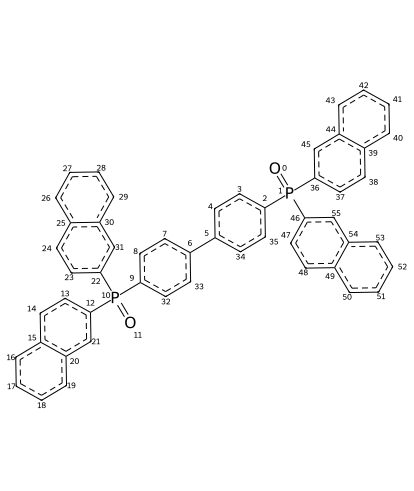 O=P(c1ccc(-c2ccc(P(=O)(c3ccc4ccccc4c3)c3ccc4ccccc4c3)cc2)cc1)(c1ccc2ccccc2c1)c1ccc2ccccc2c1